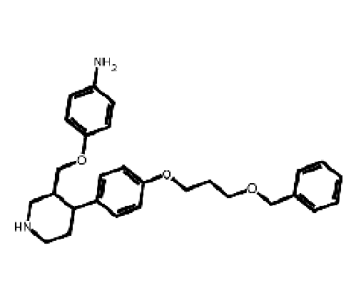 Nc1ccc(OCC2CNCCC2c2ccc(OCCCOCc3ccccc3)cc2)cc1